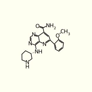 COc1ccccc1-c1cc(C(N)=O)c2ncnc(N[C@H]3CCCNC3)c2n1